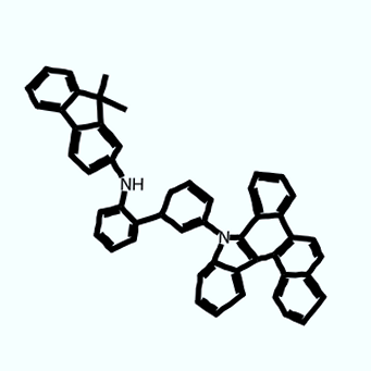 CC1(C)c2ccccc2-c2ccc(Nc3ccccc3C3C=C(n4c5ccccc5c5c6c7ccccc7ccc6c6ccccc6c54)C=CC3)cc21